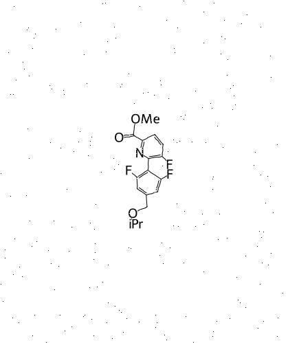 COC(=O)c1ccc(F)c(-c2c(F)cc(COC(C)C)cc2F)n1